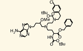 COC(CCn1cnc2c(N)ncnc21)CN(CCC(NC(=O)OC(C)(C)C)C(=O)OCc1ccccc1)CCN(CCc1ccc(Cl)cc1)C(=O)OC(C)(C)C